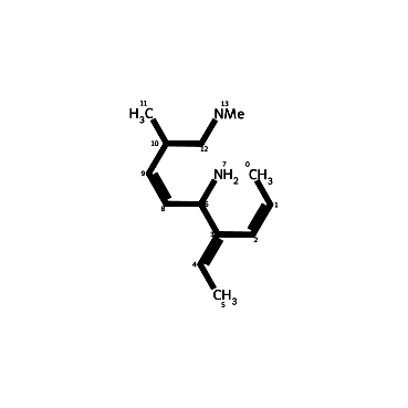 C/C=C\C(=C/C)C(N)/C=C\C(C)CNC